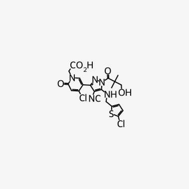 CC(C)(CO)C(=O)n1nc(-c2cn(CC(=O)O)c(=O)cc2Cl)c(C#N)c1NCc1ccc(Cl)s1